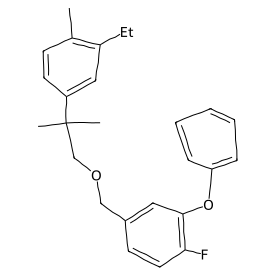 CCc1cc(C(C)(C)COCc2ccc(F)c(Oc3ccccc3)c2)ccc1C